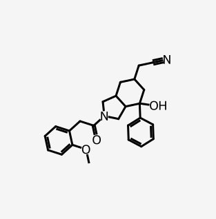 COc1ccccc1CC(=O)N1CC2CC(CC#N)CC(O)(c3ccccc3)C2C1